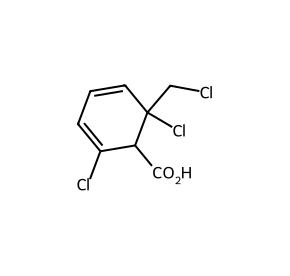 O=C(O)C1C(Cl)=CC=CC1(Cl)CCl